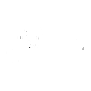 CCCC1CCC(C2CC=C(c3nc(S(=O)(=O)Nc4cc(F)c(C(=O)O)cc4OC)cs3)CC2)CC1